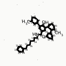 Cc1cccc(-c2cc(C(=O)NCCCCCCCc3ccccc3)cc(-c3cccc(C)c3-c3ccccc3)c2O)c1